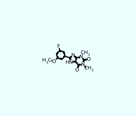 COc1cc(F)cc(-c2nc3c([nH]2)c(=O)n(C)c(=O)n3C)c1